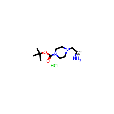 C[C@H](N)CN1CCN(C(=O)OC(C)(C)C)CC1.Cl